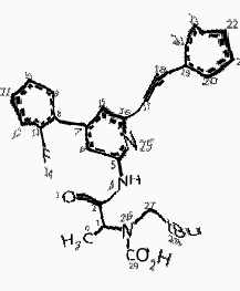 CC(C(=O)Nc1cc(-c2ccccc2F)cc(C#Cc2ccccc2)n1)N(CC(C)(C)C)C(=O)O